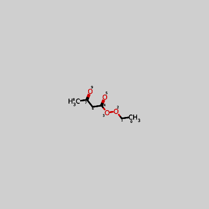 CCOOC(=O)CC(C)=O